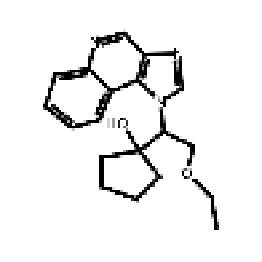 CCOCC(n1cnc2cnc3ccccc3c21)C1(O)CCCC1